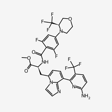 COC(=O)[C@H](Cc1ccc(-c2nc(N)ccc2C(F)(F)F)c2nccn12)NC(=O)c1c(F)cc(N2CCOC[C@@H]2C(F)(F)F)cc1F